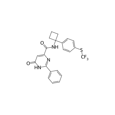 O=C(NC1(c2ccc(SC(F)(F)F)cc2)CCC1)c1cc(=O)[nH]c(-c2ccccc2)n1